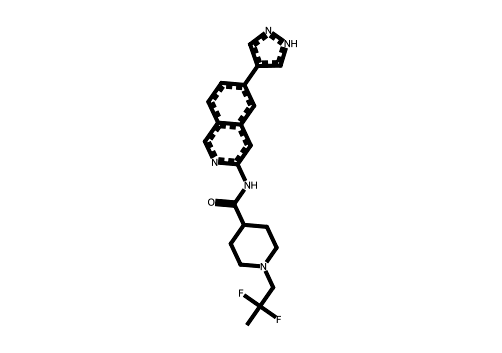 CC(F)(F)CN1CCC(C(=O)Nc2cc3cc(-c4cn[nH]c4)ccc3cn2)CC1